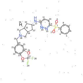 O=S(=O)(c1ccccc1)c1ccc(N[C@@H]2CC3CN(Cc4ccc5c(c4)OC(F)(F)O5)C[C@H]3C2)nn1